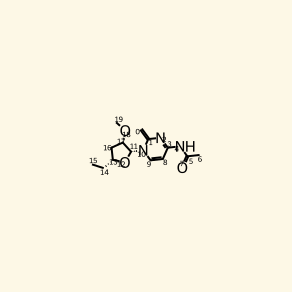 C=C1N=C(NC(C)=O)C=CN1[C@@H]1O[C@H](CC)C[C@@H]1OC